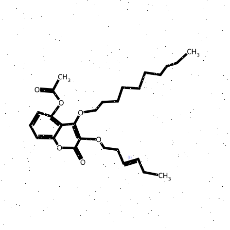 CC/C=C/CCOc1c(OCCCCCCCCCC)c2c(OC(C)=O)cccc2oc1=O